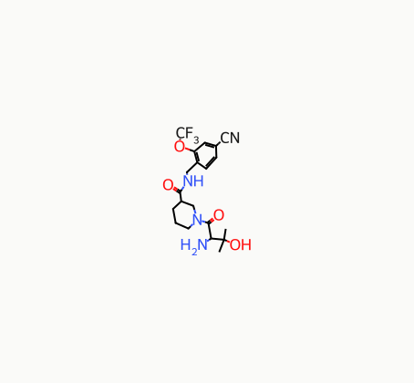 CC(C)(O)C(N)C(=O)N1CCCC(C(=O)NCc2ccc(C#N)cc2OC(F)(F)F)C1